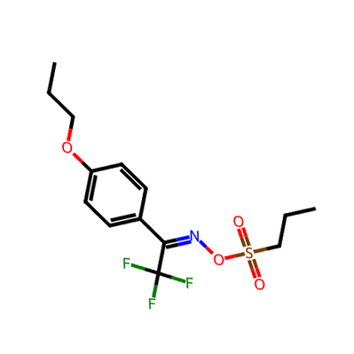 CCCOc1ccc(/C(=N/OS(=O)(=O)CCC)C(F)(F)F)cc1